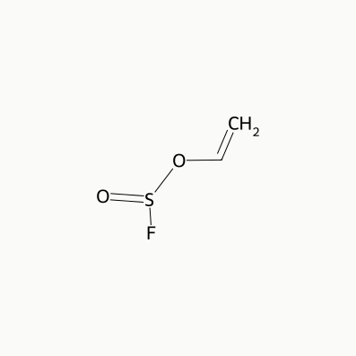 C=COS(=O)F